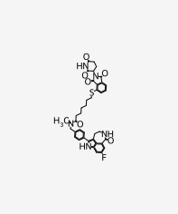 CN(Cc1ccc(-c2[nH]c3cc(F)cc4c3c2CCNC4=O)cc1)C(=O)CCCCCCSc1cccc2c1C(=O)N(C1CCC(=O)NC1=O)C2=O